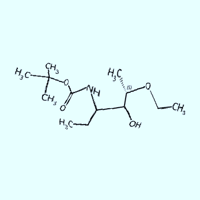 CCO[C@@H](C)C(O)C(CC)NC(=O)OC(C)(C)C